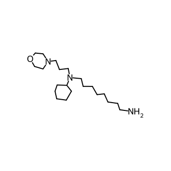 NCCCCCCCCN(CCCN1CCOCC1)C1CCCCC1